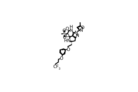 Cc1cc(-n2nc3c(c2NC(=O)CS(C)(=O)=O)C(=O)N[C@@H](CCOc2cccc(OCCCC(F)(F)F)c2)C3)no1